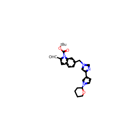 CC(C)(C)OC(=O)n1c(C=O)cc2ccc(Cn3cnc(-c4ccn(C5CCCCO5)c4)c3)cc21